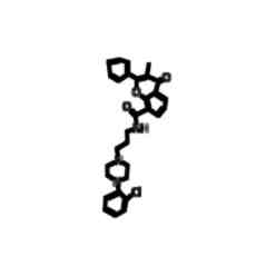 Cc1c(-c2ccccc2)oc2c(C(=O)NCCCN3CCN(c4ccccc4Cl)CC3)cccc2c1=O